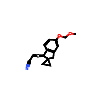 COCOc1ccc2c(c1)CC1(CC1)C2=C=CC#N